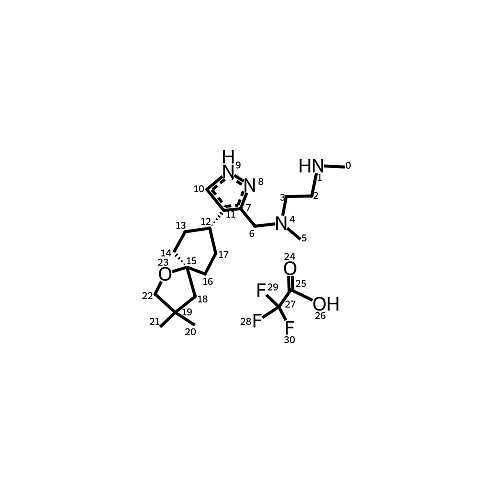 CNCCN(C)Cc1n[nH]cc1[C@H]1CC[C@]2(CC1)CC(C)(C)CO2.O=C(O)C(F)(F)F